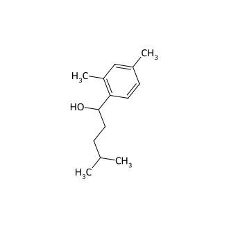 Cc1ccc(C(O)CCC(C)C)c(C)c1